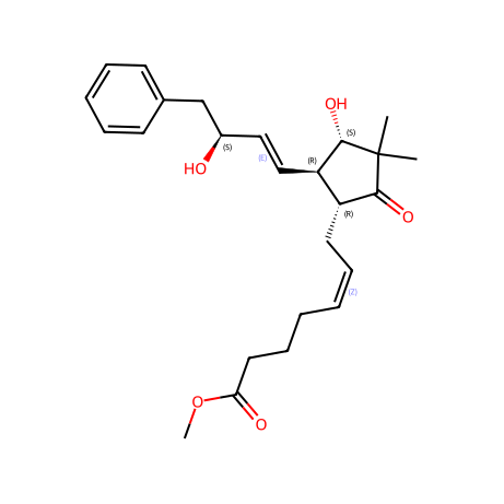 COC(=O)CCC/C=C\C[C@H]1C(=O)C(C)(C)[C@@H](O)[C@@H]1/C=C/[C@@H](O)Cc1ccccc1